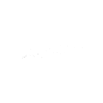 CCCCCC1CCC(COC2CCC(C=C(F)C#N)CC2)CC1